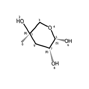 C[C@]1(O)CO[C@H](O)[C@H](O)C1